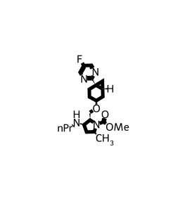 CCCN[C@H]1C[C@@H](C)N(C(=O)OC)[C@H]1CO[C@H]1CC[C@@]2(c3ncc(F)cn3)C[C@H]2C1